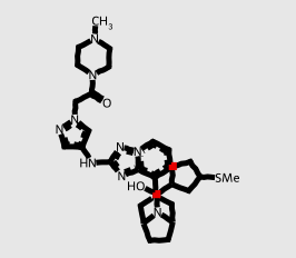 CSC1CCC(C(O)N2C3CCC2CN(c2cccn4nc(Nc5cnn(CC(=O)N6CCN(C)CC6)c5)nc24)C3)C1